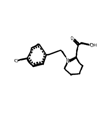 O=C(O)C1CCCCN1Cc1ccc(Cl)cc1